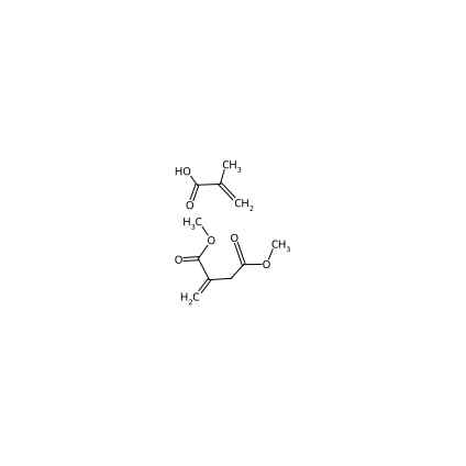 C=C(C)C(=O)O.C=C(CC(=O)OC)C(=O)OC